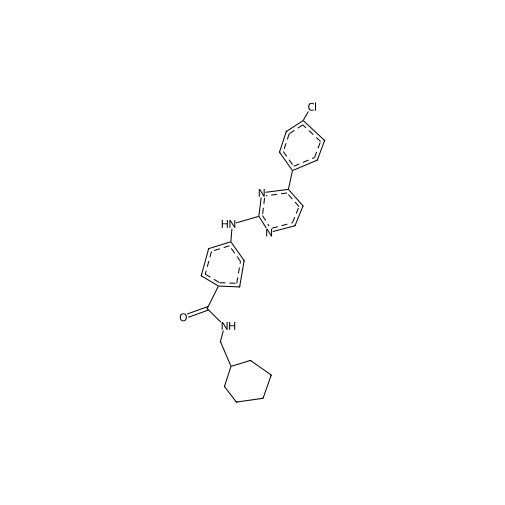 O=C(NCC1CCCCC1)c1ccc(Nc2nccc(-c3ccc(Cl)cc3)n2)cc1